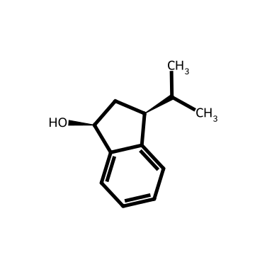 CC(C)[C@@H]1C[C@H](O)c2ccccc21